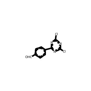 O=Cc1ccc(-c2nc(Cl)nc(Cl)n2)cc1